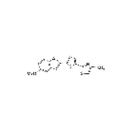 COc1ccc2sc(-c3ccc(-c4nc(C)cs4)s3)cc2c1